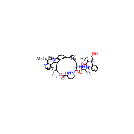 C=C(C(=O)N(C)C(C(=O)N[C@H]1Cc2nc(cs2)-c2ccc3c(c2)c(c(-c2cccnc2[C@H](C)OC)n3CC)CC(C)(C)COC(=O)[C@@H]2CCCN(N2)C1=O)C(C)C)/C(=C\CO)c1ccccc1